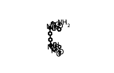 COC(=O)N[C@H]1CCC[C@@H]1C(=O)N1CCC[C@H]1c1ncc(-c2ccc(-c3ccc(-c4cnc([C@@H]5CCCN5C(=O)[C@H](OC(N)=O)c5ccccc5)[nH]4)cc3)cc2)[nH]1